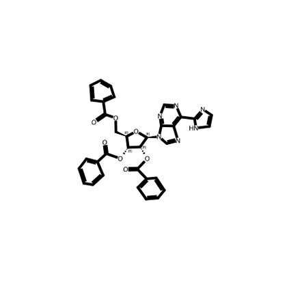 O=C(OC[C@H]1O[C@@H](n2cnc3c(-c4ncc[nH]4)ncnc32)[C@H](OC(=O)c2ccccc2)[C@@H]1OC(=O)c1ccccc1)c1ccccc1